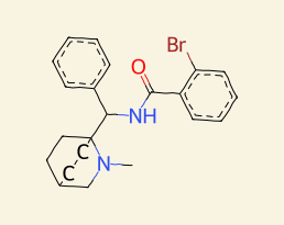 CN1CC2CCC1(C(NC(=O)c1ccccc1Br)c1ccccc1)CC2